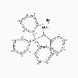 CCCCCCCCC(c1ccccc1)[P+](c1ccccc1)(c1ccccc1)c1ccccc1.[Br-]